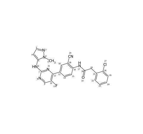 Cn1nccc1Nc1ncc(F)c(-c2ccc(NC(=O)Cc3ccccc3Cl)c(C#N)c2)n1